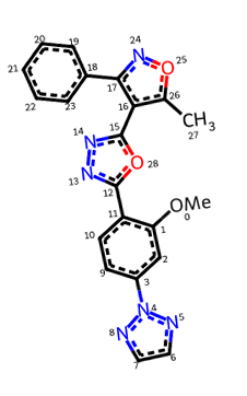 COc1cc(-n2nccn2)ccc1-c1nnc(-c2c(-c3ccccc3)noc2C)o1